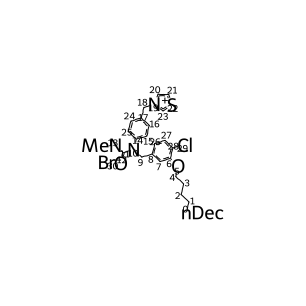 CCCCCCCCCCCCCCOc1cc(CN(C(=O)NC)c2ccc(C[n+]3ccsc3)cc2)ccc1Cl.[Br-]